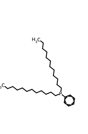 CCCCCCCCCCCCP(CCCCCCCCCCCC)c1ccccc1